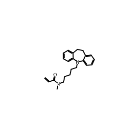 C=CC(=O)N(C)CCCCCN1c2ccccc2CCc2ccccc21